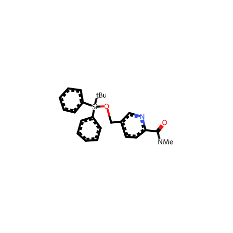 CNC(=O)c1ccc(CO[Si](c2ccccc2)(c2ccccc2)C(C)(C)C)cn1